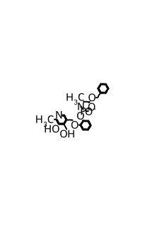 Cc1ncc(COc2ccccc2O[P+]([O-])=N[C@@H](C)C(=O)OCc2ccccc2)c(CO)c1O